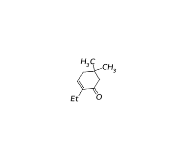 CCC1=CCC(C)(C)CC1=O